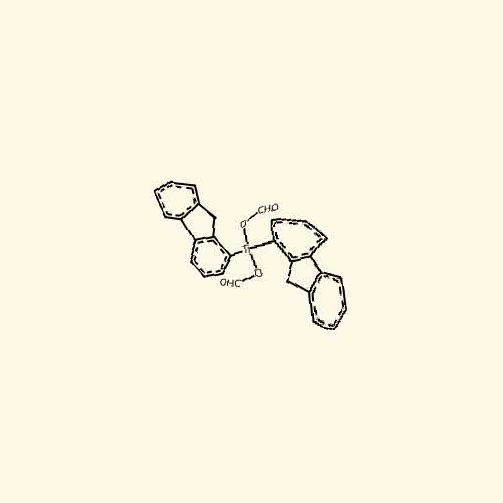 O=C[O][Ti]([O]C=O)([c]1cccc2c1Cc1ccccc1-2)[c]1cccc2c1Cc1ccccc1-2